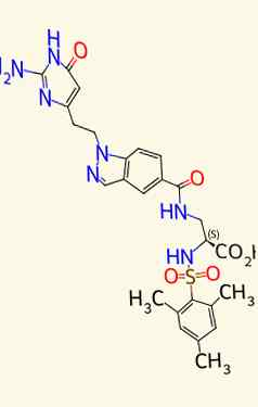 Cc1cc(C)c(S(=O)(=O)N[C@@H](CNC(=O)c2ccc3c(cnn3CCc3cc(=O)[nH]c(N)n3)c2)C(=O)O)c(C)c1